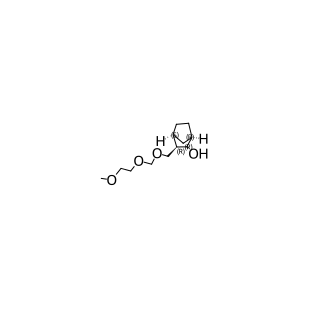 COCCOCOC[C@H]1[C@H]2CC[C@H](C2)[C@H]1O